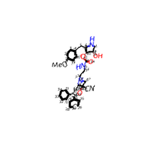 COc1ccc(C[C@H]2NC[C@H](O)[C@H]2OC(=O)NCCN2CC(C#N)(O[Si](c3ccccc3)(c3ccccc3)C(C)(C)C)C2)cc1